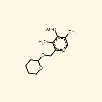 COc1c(C)cnc(COC2CCCCO2)c1C